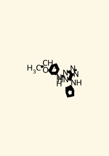 CC(C)Oc1cccc(Nc2nc3ncnc-3c(NC3CC4CCC3C4)[nH]2)c1